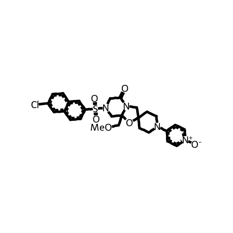 COCC12CN(S(=O)(=O)c3ccc4cc(Cl)ccc4c3)CC(=O)N1CC1(CCN(c3cc[n+]([O-])cc3)CC1)O2